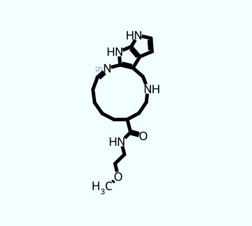 COCCNC(=O)C1CCCC/C=N\c2[nH]c3[nH]ccc3c2CNCC1